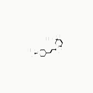 CC1(C)C=CC(=O)N(C(=O)C=CC2CCN(C(=O)O)CC2)C1